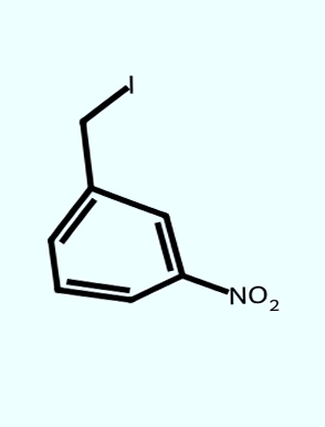 O=[N+]([O-])c1cccc(CI)c1